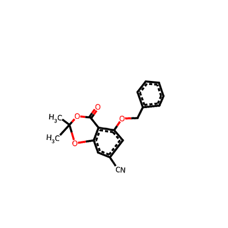 CC1(C)OC(=O)c2c(OCc3ccccc3)cc(C#N)cc2O1